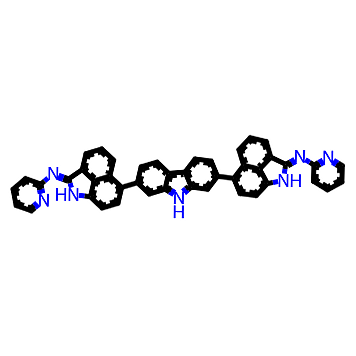 c1ccc(/N=C2\Nc3ccc(-c4ccc5c(c4)[nH]c4cc(-c6ccc7c8c(cccc68)/C(=N/c6ccccn6)N7)ccc45)c4cccc2c34)nc1